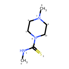 CNC(=S)N1CCN(C)CC1